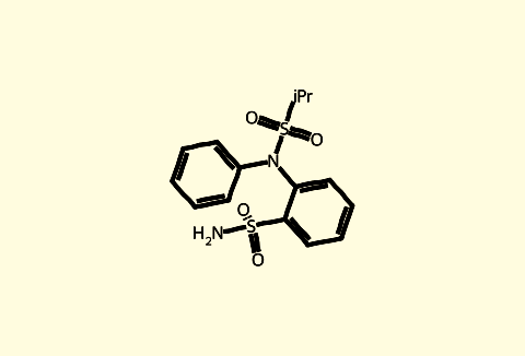 CC(C)S(=O)(=O)N(c1ccccc1)c1ccccc1S(N)(=O)=O